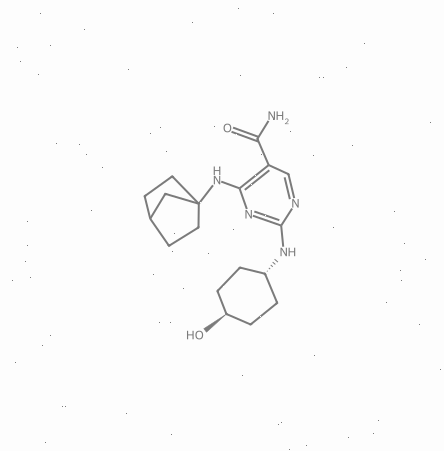 NC(=O)c1cnc(N[C@H]2CC[C@H](O)CC2)nc1NC12CCC(CC1)C2